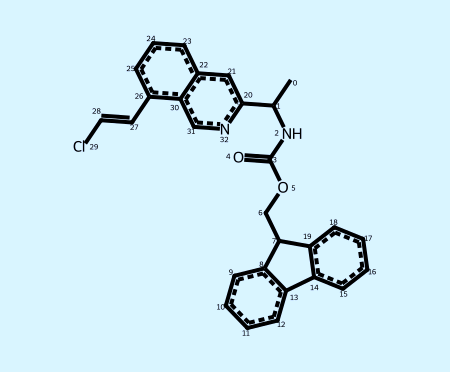 CC(NC(=O)OCC1c2ccccc2-c2ccccc21)c1cc2cccc(C=CCl)c2cn1